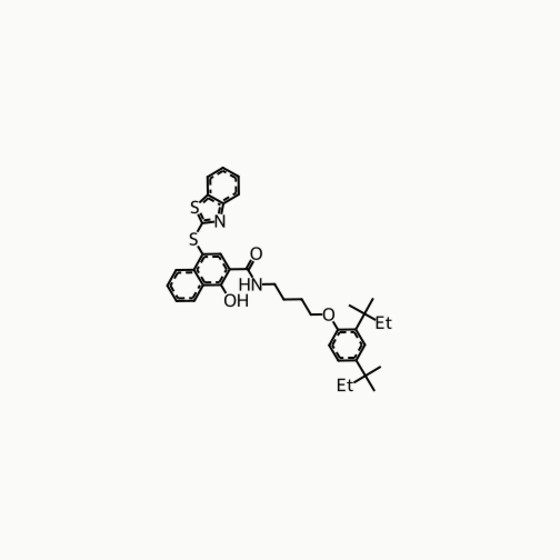 CCC(C)(C)c1ccc(OCCCCNC(=O)c2cc(Sc3nc4ccccc4s3)c3ccccc3c2O)c(C(C)(C)CC)c1